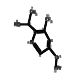 CCCOc1cnc(C(C)O)c(C(F)(F)F)c1